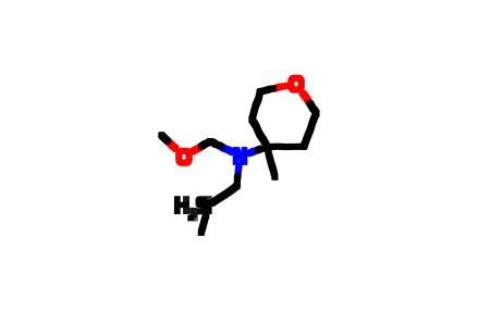 COCN(C[SiH2]C)C1(C)CCOCC1